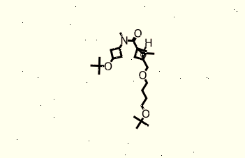 C[C@@H]1C2(COCCCCOC(C)(C)C)CC1(C(=O)N(C)C1CC(OC(C)(C)C)C1)C2